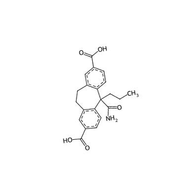 CCCC1(C(N)=O)c2ccc(C(=O)O)cc2CCc2cc(C(=O)O)ccc21